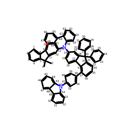 CC1(C)c2ccccc2-c2ccc(N(c3ccc4c(c3)C(c3ccccc3)(c3ccccc3)c3cccc(-c5ccc(-n6c7ccccc7c7ccccc76)cc5)c3-4)c3ccccc3-c3ccccc3)cc21